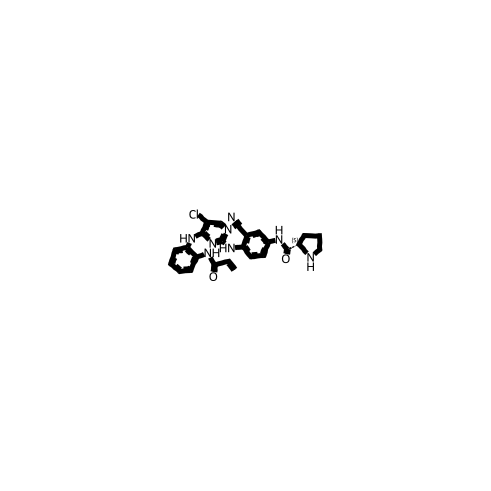 C=CC(=O)Nc1ccccc1Nc1nc(Nc2ccc(NC(=O)[C@@H]3CCCN3)cc2C#N)ncc1Cl